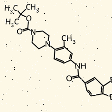 Cc1cc(NC(=O)c2ccc(Br)c(F)c2)ccc1N1CCN(C(=O)OC(C)(C)C)CC1